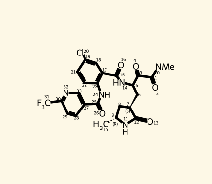 CNC(=O)C(=O)C(C[C@@H]1C[C@@H](C)NC1=O)NC(=O)c1cc(Cl)ccc1NC(=O)c1ccc(C(F)(F)F)nc1